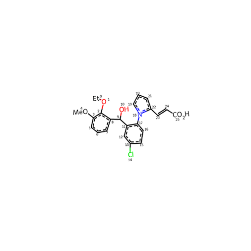 CCOc1c(OC)cccc1C(O)c1cc(Cl)ccc1-n1cccc1C=CC(=O)O